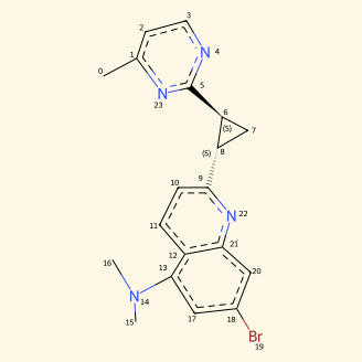 Cc1ccnc([C@H]2C[C@@H]2c2ccc3c(N(C)C)cc(Br)cc3n2)n1